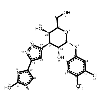 OC[C@H]1O[C@H](Sc2cnc(C(F)(F)F)c(Cl)c2)[C@H](O)[C@@H](n2cc(-c3csc(O)n3)nn2)[C@H]1O